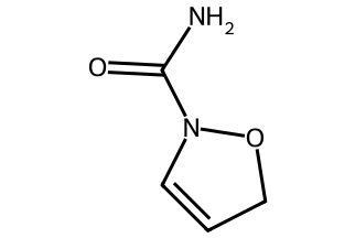 NC(=O)N1C=CCO1